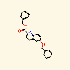 O=C(OCc1ccccc1)c1ccc2cc(OCc3ccccc3)ccc2n1